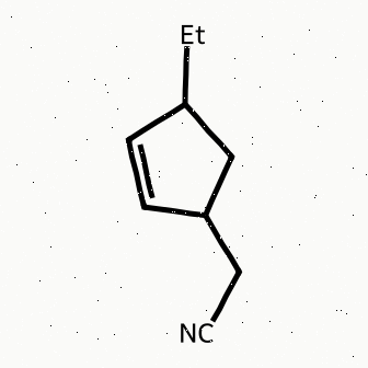 CCC1C=CC(CC#N)C1